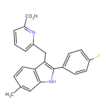 Cc1ccc2c(Cc3cccc(C(=O)O)n3)c(-c3ccc(F)cc3)[nH]c2c1